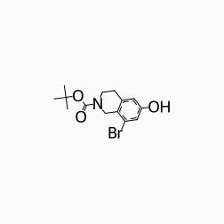 CC(C)(C)OC(=O)N1CCc2cc(O)cc(Br)c2C1